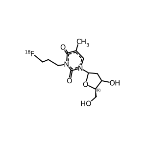 Cc1cn(C2CC(O)[C@@H](CO)O2)c(=O)n(CCC[18F])c1=O